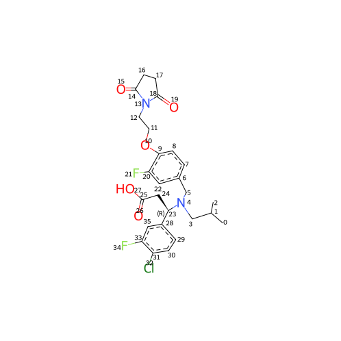 CC(C)CN(Cc1ccc(OCCN2C(=O)CCC2=O)c(F)c1)[C@H](CC(=O)O)c1ccc(Cl)c(F)c1